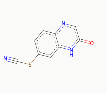 N#CSc1ccc2ncc(=O)[nH]c2c1